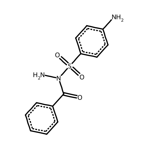 Nc1ccc(S(=O)(=O)N(N)C(=O)c2ccccc2)cc1